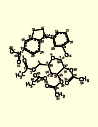 CC(=O)OC[C@H]1O[C@H](Oc2cccc(N3CCc4cc([N+](=O)[O-])ccc43)c2)[C@@H](OC(C)=O)[C@@H](OC(C)=O)[C@@H]1OC(C)=O